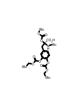 CCC(C)N[C@@](Cc1ccc(OC(=O)OCC(C)(C)C)c(OC(=O)OCC(C)(C)C)c1)(OC(=O)OC(C)(C)C)C(=O)O